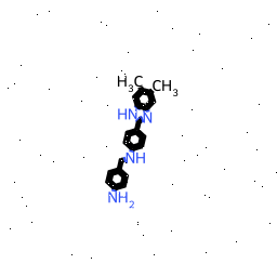 Cc1cc2nc(-c3ccc(NCc4ccc(N)cc4)cc3)[nH]c2cc1C